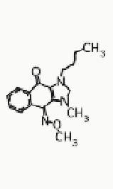 CCCCN1CN(C)C2=C1C(=O)c1ccccc1/C2=N/OC